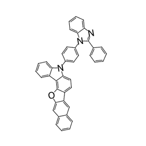 c1ccc(-c2nc3ccccc3n2-c2ccc(-n3c4ccccc4c4c5oc6cc7ccccc7cc6c5ccc43)cc2)cc1